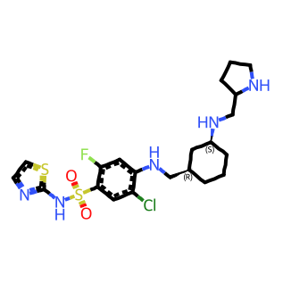 O=S(=O)(Nc1nccs1)c1cc(Cl)c(NC[C@@H]2CCC[C@H](NCC3CCCN3)C2)cc1F